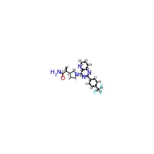 C=C(C(N)=O)C1CCN(c2nc(-c3ccc(C(F)(F)F)cc3)nc3cccnc23)C1